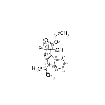 CCOC(=O)C(O)(c1cn(C(C)C)c2ccccc12)C(F)(F)F